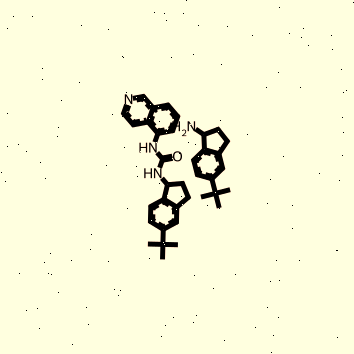 CC(C)(C)c1ccc2c(c1)CCC2N.CC(C)(C)c1ccc2c(c1)CCC2NC(=O)Nc1cccc2cnccc12